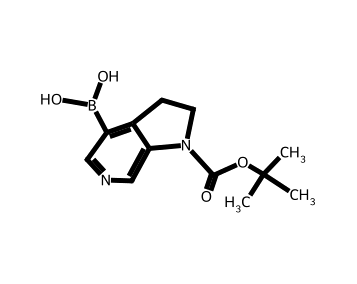 CC(C)(C)OC(=O)N1CCc2c(B(O)O)cncc21